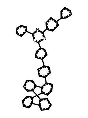 c1ccc(-c2ccc(-c3nc(-c4ccccc4)nc(-c4ccc(-c5ccc(-c6cccc7c6-c6ccccc6C76c7ccccc7-c7ccccc76)cc5)cc4)n3)cc2)cc1